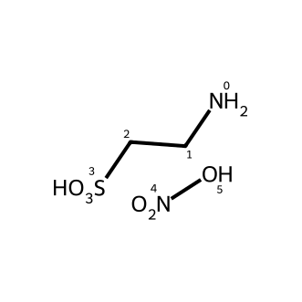 NCCS(=O)(=O)O.O=[N+]([O-])O